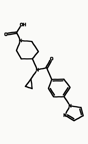 O=C(O)N1CCC(N(C(=O)c2ccc(-n3cccn3)cc2)C2CC2)CC1